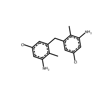 Cc1c(N)cc(Cl)cc1Cc1cc(Cl)cc(N)c1C